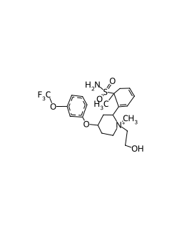 CC1(S(N)(=O)=O)CC=CC=C1C1CC(Oc2cccc(OC(F)(F)F)c2)CC[N+]1(C)CCO